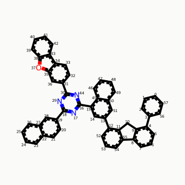 c1ccc(-c2cccc3c2Cc2c(-c4cc(-c5nc(-c6ccc7ccccc7c6)nc(-c6ccc7c(c6)oc6ccccc67)n5)c5ccccc5c4)cccc2-3)cc1